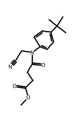 COC(=O)CCC(=O)N(CC#N)c1ccc(C(C)(C)C)cc1